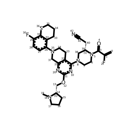 C=C(F)C(=O)N1CCN(c2nc(OC[C@@H]3CCCN3C)nc3c2CCN(c2ccc(F)c4c2CCCS4)C3)C[C@@H]1CC#N